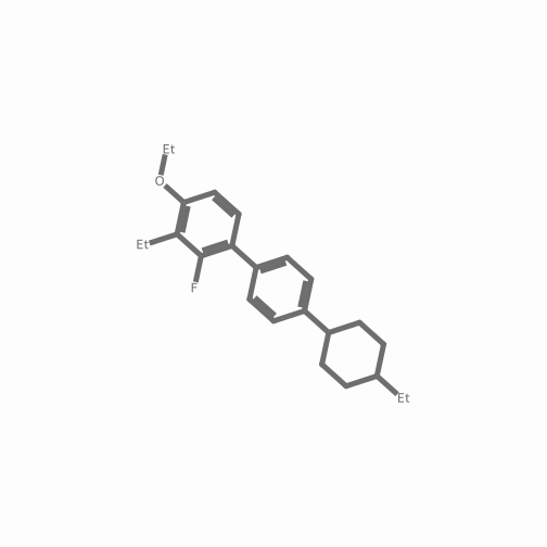 CCOc1ccc(-c2ccc(C3CCC(CC)CC3)cc2)c(F)c1CC